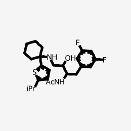 CC(=O)NC(Cc1cc(F)cc(F)c1)C(O)CNC1(c2ccc(C(C)C)s2)CCCCC1